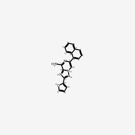 Nc1nc(-c2cccc3ccccc23)cn2nc(-c3ccco3)nc12